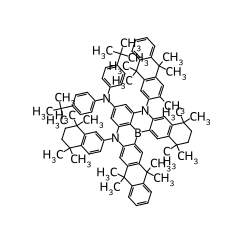 Cc1cc2c(cc1N1c3cc4c(cc3B3c5cc6c(cc5N(c5ccc7c(c5)C(C)(C)CCC7(C)C)c5cc(N(c7ccc(C(C)(C)C)cc7)c7ccc(C(C)(C)C)cc7)cc1c53)C(C)(C)c1ccccc1C6(C)C)C(C)(C)CCC4(C)C)C(C)(C)c1ccccc1C2(C)C